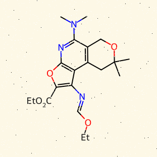 CCO/C=N/c1c(C(=O)OCC)oc2nc(N(C)C)c3c(c12)CC(C)(C)OC3